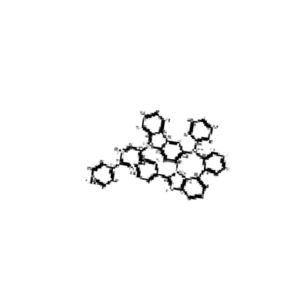 c1ccc(-c2nc3cccc4c5ccccc5n(-c5ccccc5)c5cc6c7ccccc7n(-c7cnc(-c8ccncc8)nc7)c6cc5n2c34)cc1